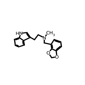 CN(CCc1c[nH]c2ccccc12)Cc1cccc2c1OCO2